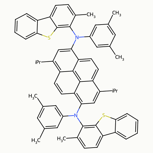 Cc1cc(C)cc(N(c2cc(C(C)C)c3ccc4c(N(c5cc(C)cc(C)c5)c5c(C)ccc6c5sc5ccccc56)cc(C(C)C)c5ccc2c3c54)c2c(C)ccc3c2sc2ccccc23)c1